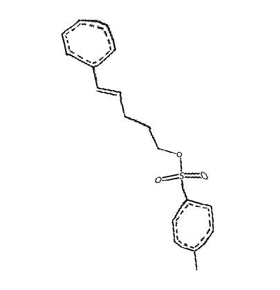 Cc1ccc(S(=O)(=O)OCCC/C=C/c2ccccc2)cc1